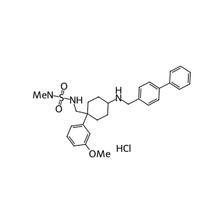 CNS(=O)(=O)NCC1(c2cccc(OC)c2)CCC(NCc2ccc(-c3ccccc3)cc2)CC1.Cl